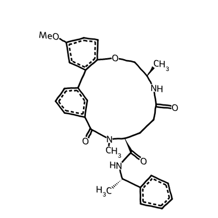 COc1ccc2c(c1)-c1cccc(c1)C(=O)N(C)[C@H](C(=O)N[C@@H](C)c1ccccc1)CCC(=O)N[C@H](C)CO2